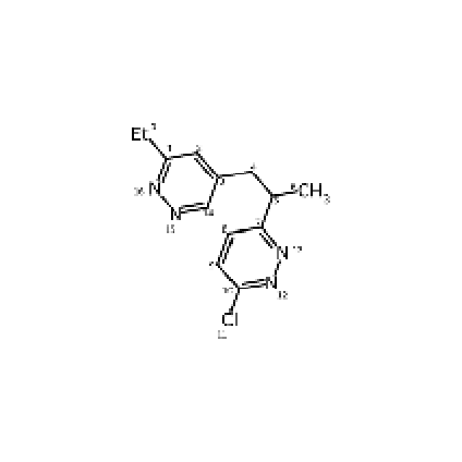 CCc1cc(CC(C)c2ccc(Cl)nn2)cnn1